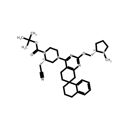 CN1CCC[C@H]1COc1nc2c(c(N3CCN(C(=O)OC(C)(C)C)[C@@H](CC#N)C3)n1)CCC1(CCCc3ccccc31)C2